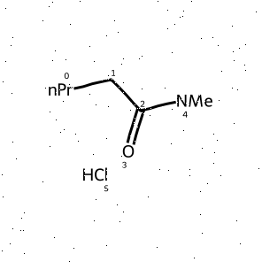 CCCCC(=O)NC.Cl